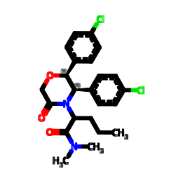 CCCC(C(=O)N(C)C)N1C(=O)CO[C@@H](c2ccc(Cl)cc2)[C@H]1c1ccc(Cl)cc1